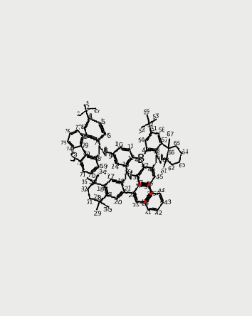 CC(C)(C)c1ccc(N(c2ccc3c(c2)N(c2cc4c(cc2-c2ccccc2)C(C)(C)CCC4(C)C)c2cc(-c4ccccc4)cc4c2B3c2cc(C(C)(C)C)cc3c2N4C2(C)CCCCC32C)c2cccc3sc4ccccc4c23)cc1